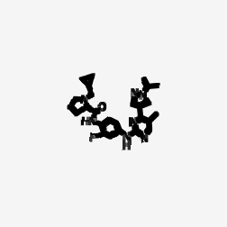 Cc1cnc(Nc2ccc(NC(=O)C3CCCN3CC3CC3)c(F)c2)nc1-c1cnn(C(C)C)c1